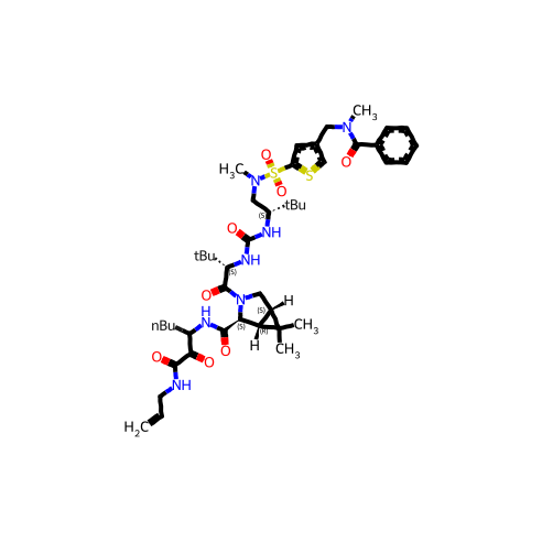 C=CCNC(=O)C(=O)C(CCCC)NC(=O)[C@@H]1[C@@H]2[C@H](CN1C(=O)[C@@H](NC(=O)N[C@H](CN(C)S(=O)(=O)c1cc(CN(C)C(=O)c3ccccc3)cs1)C(C)(C)C)C(C)(C)C)C2(C)C